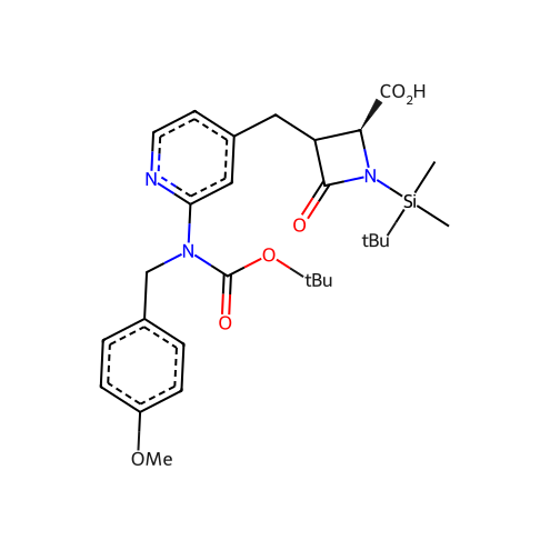 COc1ccc(CN(C(=O)OC(C)(C)C)c2cc(CC3C(=O)N([Si](C)(C)C(C)(C)C)[C@@H]3C(=O)O)ccn2)cc1